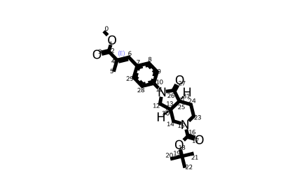 COC(=O)/C(C)=C/c1ccc(N2C[C@@H]3CN(C(=O)OC(C)(C)C)CC[C@@H]3C2=O)cc1